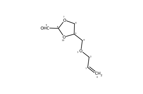 C=CCOCC1COC(C=O)O1